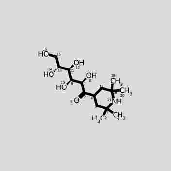 CC1(C)CC(C(=O)[C@H](O)[C@@H](O)[C@H](O)[C@H](O)CO)CC(C)(C)N1